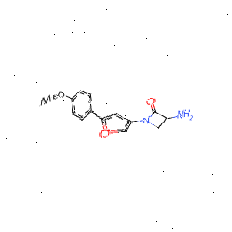 COc1ccc(-c2cc(N3CC(N)C3=O)co2)cc1